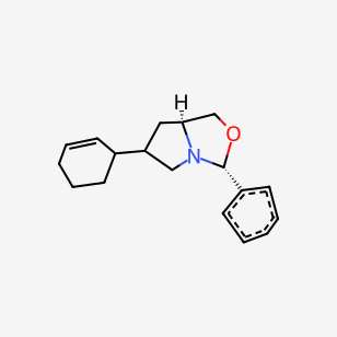 C1=CC(C2C[C@H]3CO[C@H](c4ccccc4)N3C2)CCC1